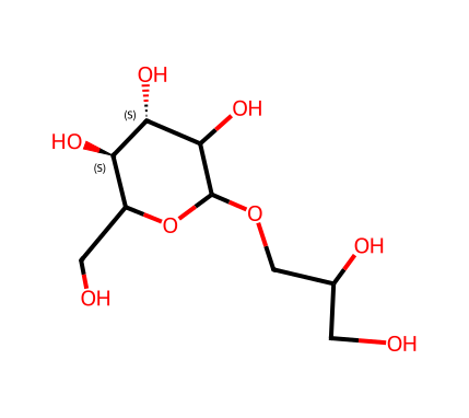 OCC(O)COC1OC(CO)[C@@H](O)[C@H](O)C1O